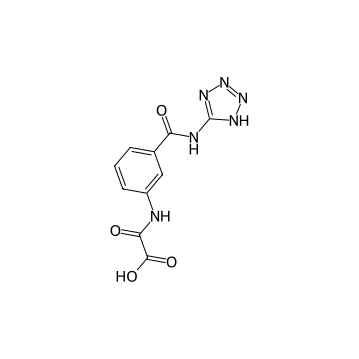 O=C(O)C(=O)Nc1cccc(C(=O)Nc2nnn[nH]2)c1